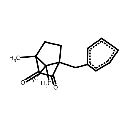 CC12CCC(Cc3ccccc3)(C(=O)C1=O)C2(C)C